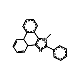 Cn1c(-c2ccccc2)nc2c1-c1ccccc1C1C=CC=CC21